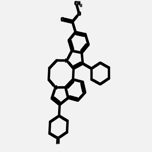 COC(=O)c1ccc2c(C3CCCCC3)c3n(c2c1)CCCn1cc(C2CCNCC2)c2cccc-3c21